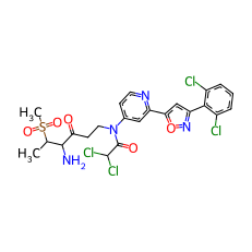 CC(C(N)C(=O)CCN(C(=O)C(Cl)Cl)c1ccnc(-c2cc(-c3c(Cl)cccc3Cl)no2)c1)S(C)(=O)=O